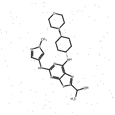 CC(O)c1nc2c(N[C@H]3CC[C@H](N4CCOCC4)CC3)nc(Nc3cnn(C)c3)nc2s1